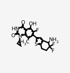 Cc1c(-c2cc3c(s2)CCC(F)(F)C3N)c(F)c(O)c2c(=O)[nH]c(=O)n(C3CC3)c12